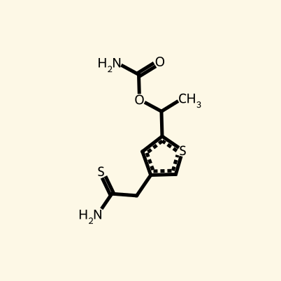 CC(OC(N)=O)c1cc(CC(N)=S)cs1